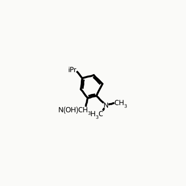 CC(C)c1ccc(N(C)C)c(N(C)O)c1